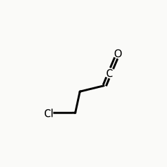 O=C=CCCCl